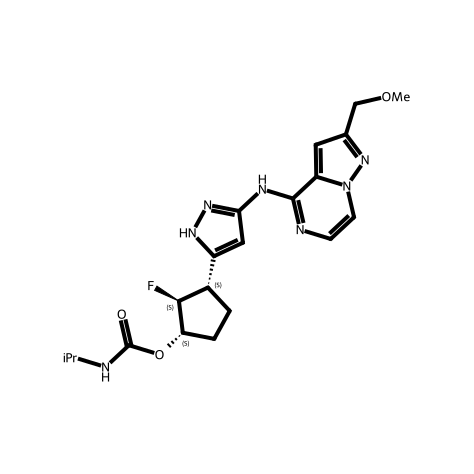 COCc1cc2c(Nc3cc([C@@H]4CC[C@H](OC(=O)NC(C)C)[C@H]4F)[nH]n3)nccn2n1